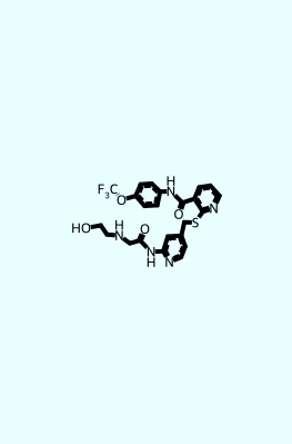 O=C(CNCCO)Nc1cc(CSc2ncccc2C(=O)Nc2ccc(OC(F)(F)F)cc2)ccn1